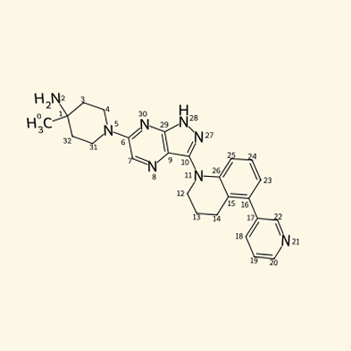 CC1(N)CCN(c2cnc3c(N4CCCc5c(-c6cccnc6)cccc54)n[nH]c3n2)CC1